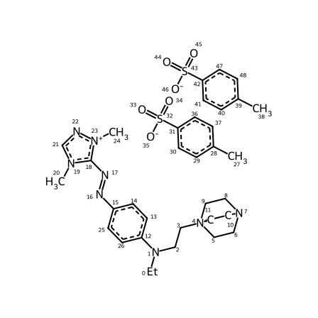 CCN(CC[N+]12CCN(CC1)CC2)c1ccc(N=Nc2n(C)cn[n+]2C)cc1.Cc1ccc(S(=O)(=O)[O-])cc1.Cc1ccc(S(=O)(=O)[O-])cc1